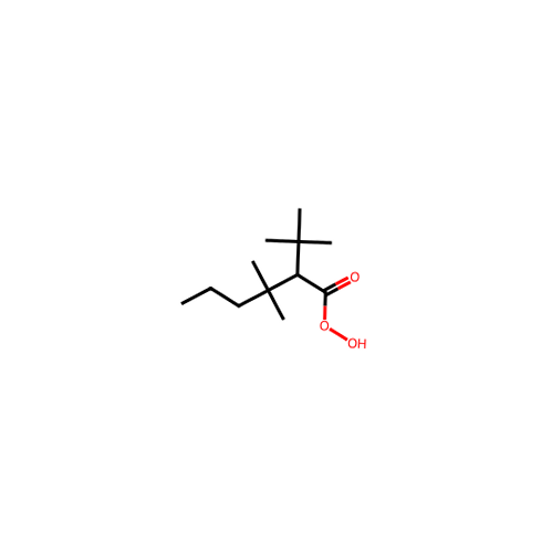 CCCC(C)(C)C(C(=O)OO)C(C)(C)C